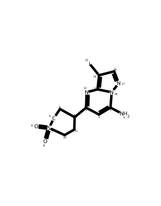 Nc1cc(C2CCS(=O)(=O)CC2)nc2c(I)cnn12